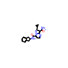 NC(=O)c1c(C2CC2)nn2c(C(=O)NC3Cc4ccccc4C3)ccnc12